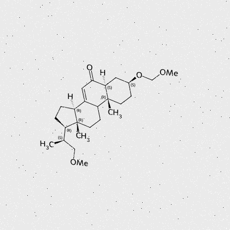 COCO[C@H]1CC[C@]2(C)C3CC[C@]4(C)[C@@H]([C@H](C)COC)CC[C@H]4C3=CC(=O)[C@H]2C1